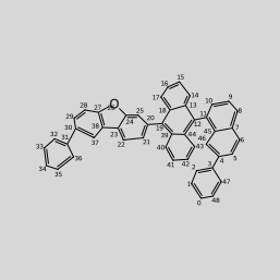 c1ccc(-c2ccc3cccc(-c4c5ccccc5c(-c5ccc6c(c5)oc5ccc(-c7ccccc7)cc56)c5ccccc45)c3c2)cc1